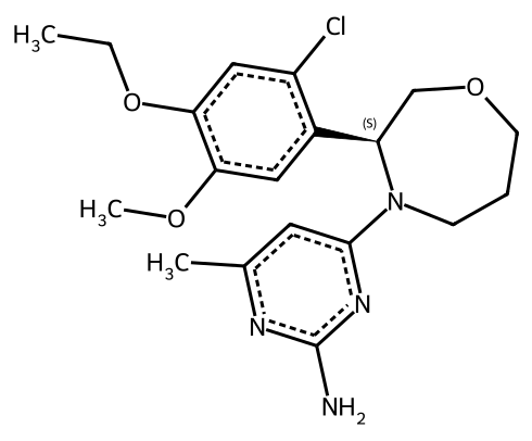 CCOc1cc(Cl)c([C@H]2COCCCN2c2cc(C)nc(N)n2)cc1OC